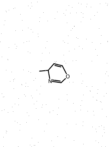 CC1C=COC=N1